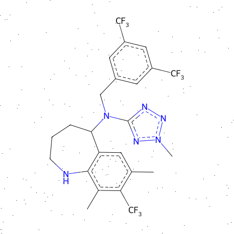 Cc1cc2c(c(C)c1C(F)(F)F)NCCCC2N(Cc1cc(C(F)(F)F)cc(C(F)(F)F)c1)c1nnn(C)n1